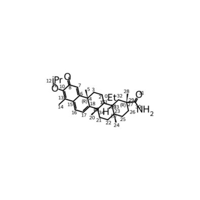 CC[C@@]12CC[C@@]3(C)C4=CC(=O)C(OC(C)C)=C(C)C4=CC=C3[C@@]1(C)CC[C@@]1(C)CC[C@@](C)(C(N)=O)C[C@H]12